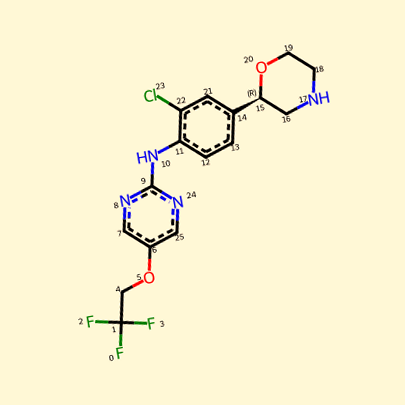 FC(F)(F)COc1cnc(Nc2ccc([C@@H]3CNCCO3)cc2Cl)nc1